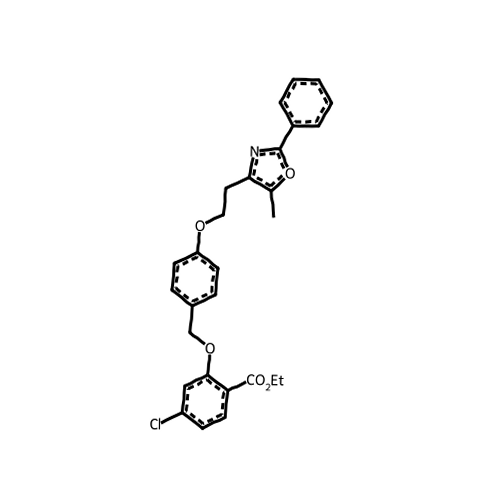 CCOC(=O)c1ccc(Cl)cc1OCc1ccc(OCCc2nc(-c3ccccc3)oc2C)cc1